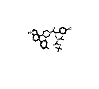 CC(C)N(C[C@@H](C(=O)N1CCN(c2c(-c3ccc(F)cc3)cnc3[nH]ccc23)CC1)c1ccc(Cl)cc1)C(=O)OC(C)(C)C